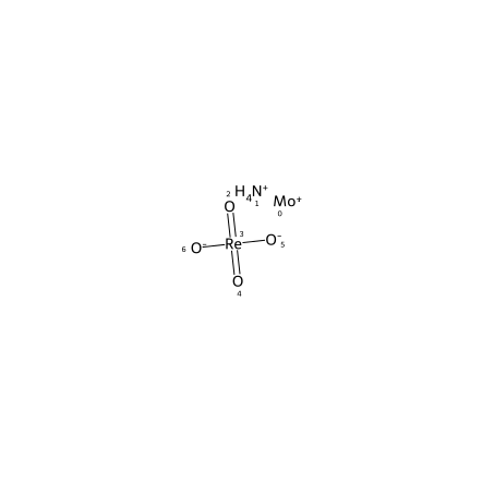 [Mo+].[NH4+].[O]=[Re](=[O])([O-])[O-]